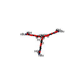 CCCC/C=C/C(C/C=C/CCCCCCCC(=O)OC[C@H](O)COP(=O)(OC[C@@H](O)COC(=O)CCCCCCC/C=C/CC(/C=C/CCCC)OO)OC[C@@H](O)COC(=O)CCCCCCC/C=C/CC(/C=C/CCCC)OO)OO